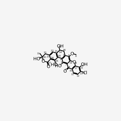 COc1c2c(c(O)c3c(=O)c4ccc(Cl)c(O)c4oc13)-c1c(cc3c(c1O)C(=O)OC(C)(O)C3)C(O)C2